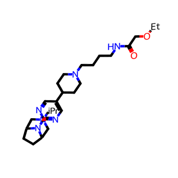 CCOCC(=O)NCCCCN1CCC(c2cnc(N3C4CCC3CN(C(C)C)C4)nc2)CC1